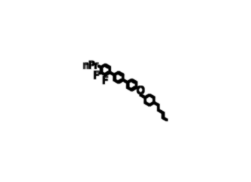 C/C=C/CCC1CCC(COc2ccc(-c3ccc(-c4ccc(CCC)c(F)c4F)cc3)cc2)CC1